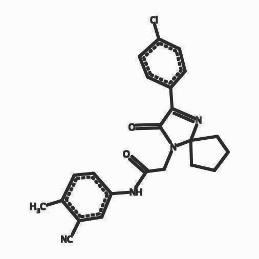 Cc1ccc(NC(=O)CN2C(=O)C(c3ccc(Cl)cc3)=NC23CCCC3)cc1C#N